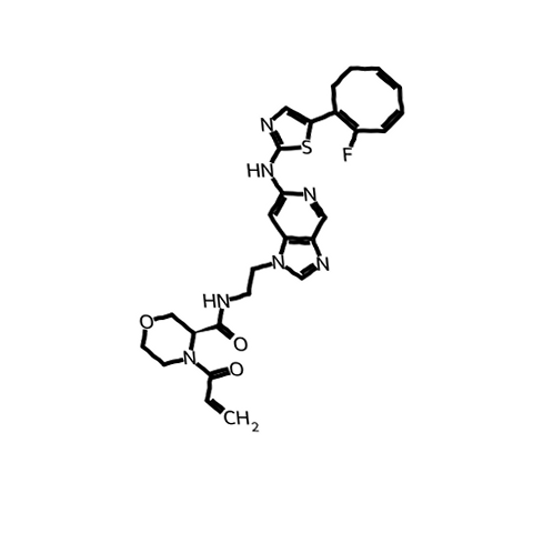 C=CC(=O)N1CCOC[C@H]1C(=O)NCCn1cnc2cnc(Nc3ncc(/C4=C(F)/C=C\C=C/CC4)s3)cc21